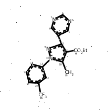 CCOC(=O)c1c(-c2cncnc2)nn(-c2cccc(C(F)(F)F)c2)c1C